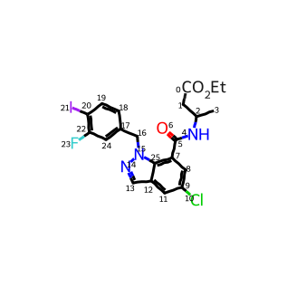 CCOC(=O)CC(C)NC(=O)c1cc(Cl)cc2cnn(Cc3ccc(I)c(F)c3)c12